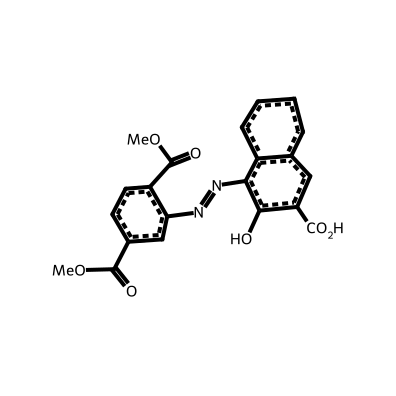 COC(=O)c1ccc(C(=O)OC)c(/N=N/c2c(O)c(C(=O)O)cc3ccccc23)c1